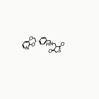 O=C1CSC(=O)C1CNCc1ccc([C@H]2COc3cccnc3O2)cc1